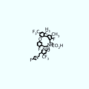 Cc1cc2cc(c1F)[C@@H](CC(=O)O)NC(=O)[C@H](n1cc(CCN3CC(F)C3)c(C(F)(F)F)cc1=O)c1cc(ccc1F)Oc1cc(C(F)(F)F)cc(C)c1-2